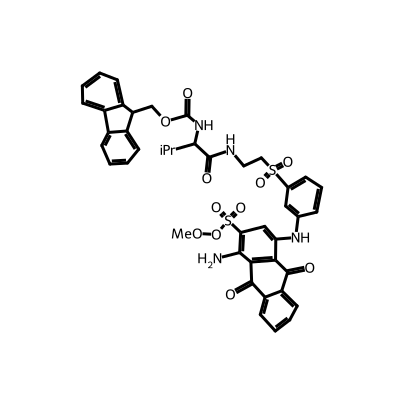 COOS(=O)(=O)c1cc(Nc2cccc(S(=O)(=O)CCNC(=O)C(NC(=O)OCC3c4ccccc4-c4ccccc43)C(C)C)c2)c2c(c1N)C(=O)c1ccccc1C2=O